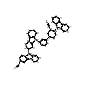 N#Cc1ccc2c(c1)c1ccccc1n2-c1ccc2c3ccccc3n(-c3cccc(-c4ccc(-n5c6ccccc6c6ccccc65)c(C#N)c4)c3)c2c1